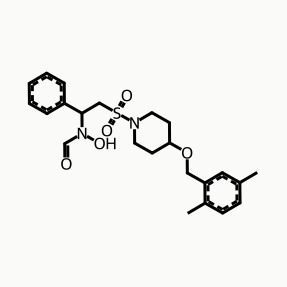 Cc1ccc(C)c(COC2CCN(S(=O)(=O)CC(c3ccccc3)N(O)C=O)CC2)c1